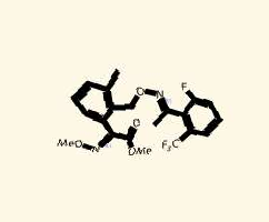 CO/N=C(/C(=O)OC)c1cccc(C)c1CO/N=C(\C)c1c(F)cccc1C(F)(F)F